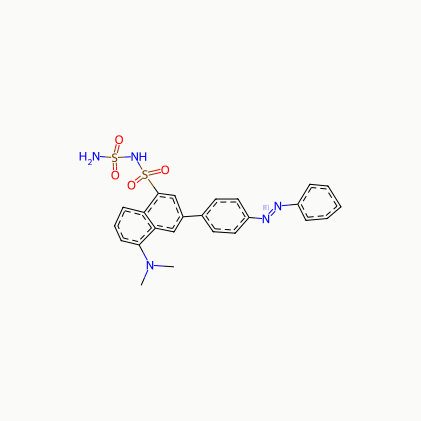 CN(C)c1cccc2c(S(=O)(=O)NS(N)(=O)=O)cc(-c3ccc(/N=N/c4ccccc4)cc3)cc12